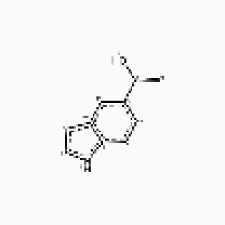 C[C@H](O)c1ccc2[nH]ccc2c1